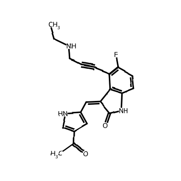 CCNCC#Cc1c(F)ccc2c1C(=Cc1cc(C(C)=O)c[nH]1)C(=O)N2